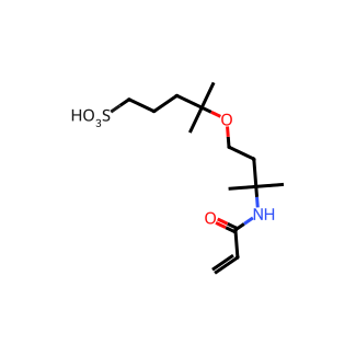 C=CC(=O)NC(C)(C)CCOC(C)(C)CCCS(=O)(=O)O